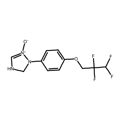 [O-][N+]1=CNCN1c1ccc(OCC(F)(F)C(F)F)cc1